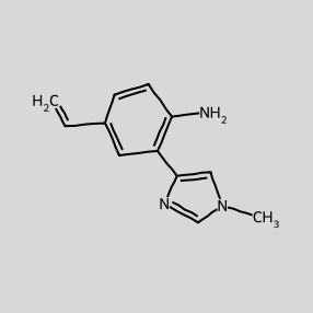 C=Cc1ccc(N)c(-c2cn(C)cn2)c1